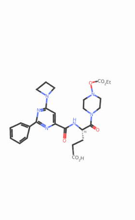 CCOC(=O)ON1CCN(C(=O)[C@H](CCC(=O)O)NC(=O)c2cc(N3CCC3)nc(-c3ccccc3)n2)CC1